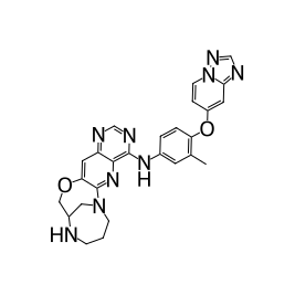 Cc1cc(Nc2ncnc3cc4c(nc23)N2CCCNC(CO4)C2)ccc1Oc1ccn2ncnc2c1